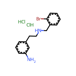 Cl.Cl.Nc1cccc(CCNCc2ccccc2Br)c1